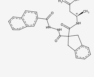 C=C(O)C[C@@H](C)NC(=O)C1(C(=O)NNC(=O)c2ccc3ccccc3c2)Cc2ccccc2C1